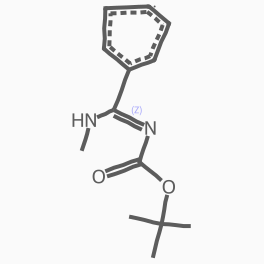 CN/C(=N\C(=O)OC(C)(C)C)c1cc[c]cc1